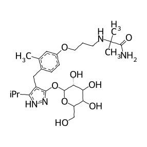 Cc1cc(OCCCNC(C)(C)C(N)=O)ccc1Cc1c(OC2OC(CO)C(O)C(O)[C@H]2O)n[nH]c1C(C)C